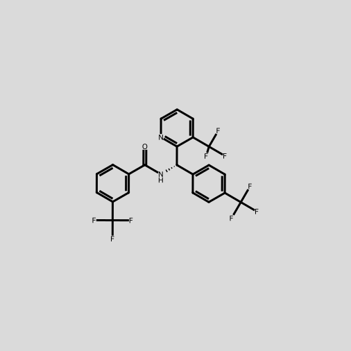 O=C(N[C@@H](c1ccc(C(F)(F)F)cc1)c1ncccc1C(F)(F)F)c1cccc(C(F)(F)F)c1